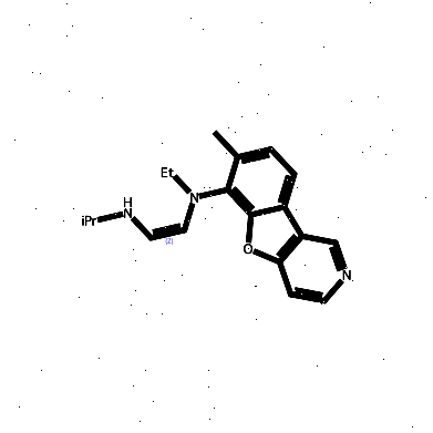 CCN(/C=C\NC(C)C)c1c(C)ccc2c1oc1ccncc12